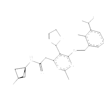 Cc1nc(CC(=O)NC23CC(F)(C2)C3)c(C2OCCO2)c(NCc2cccc(C(F)F)c2F)n1